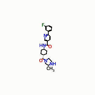 C[C@@H]1CN(C(=O)[C@H]2CC[C@H](NC(=O)c3ccc(-c4cccc(F)c4)nc3)CC2)CCN1